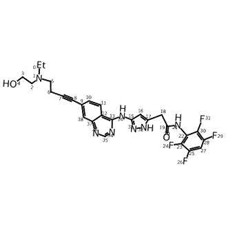 CCN(CCO)CCC#Cc1ccc2c(Nc3cc(CC(=O)Nc4c(F)c(F)cc(F)c4F)[nH]n3)ncnc2c1